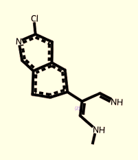 CN/C=C(\C=N)c1ccc2cnc(Cl)cc2c1